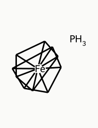 P.[CH]12[CH]3[CH]4[CH]5[CH]1[Fe]23451678[CH]2[CH]1[CH]6[CH]7[CH]28